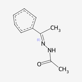 CC(=O)N/N=C(\C)c1ccccc1